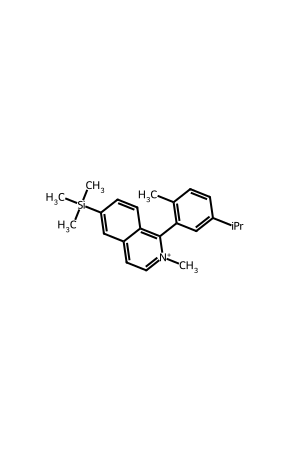 Cc1ccc(C(C)C)cc1-c1c2ccc([Si](C)(C)C)cc2cc[n+]1C